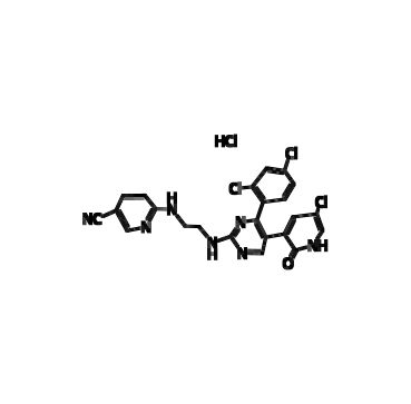 Cl.N#Cc1ccc(NCCNc2ncc(-c3cc(Cl)c[nH]c3=O)c(-c3ccc(Cl)cc3Cl)n2)nc1